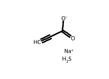 C#CC(=O)[O-].S.[Na+]